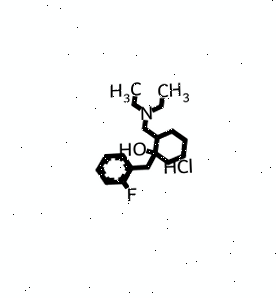 CCN(CC)CC1CCCCC1(O)Cc1ccccc1F.Cl